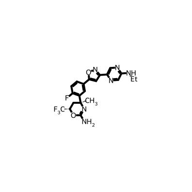 CCNc1cnc(-c2cc(-c3ccc(F)c([C@]4(C)C[C@@H](C(F)(F)F)OC(N)=N4)c3)on2)cn1